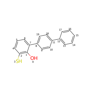 Oc1c(S)cccc1-c1ccc(-c2ccccc2)cc1